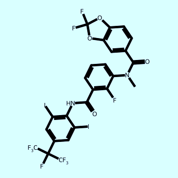 CN(C(=O)c1ccc2c(c1)OC(F)(F)O2)c1cccc(C(=O)Nc2c(I)cc(C(F)(C(F)(F)F)C(F)(F)F)cc2I)c1F